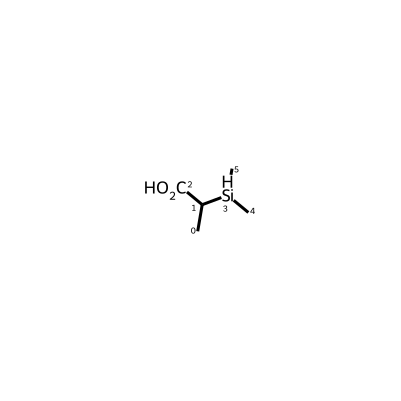 CC(C(=O)O)[SiH](C)C